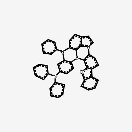 c1ccc(N(c2ccccc2)c2ccc3c(c2)N(c2ccccc2)c2ccc4ccn5c4c2B3c2c-5ccc3c2oc2ccccc23)cc1